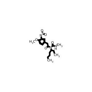 CCCCC(CC)N(C(=O)Cc1ccc(OC)c(N=S(=O)=O)c1)C(=O)NC